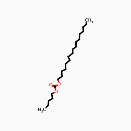 CCCCCCCCCCCCCCCCCOC(=O)OCCCCC